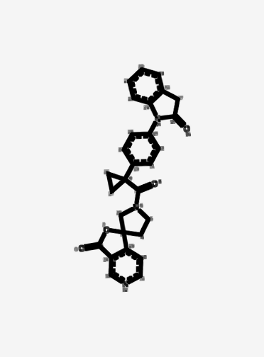 O=C1OC2(CCN(C(=O)C3(c4ccc(N5C(=O)Cc6ccccc65)cc4)CC3)C2)c2ccncc21